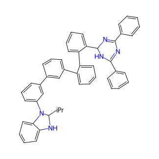 CC(C)C1Nc2ccccc2N1c1cccc(-c2cccc(-c3ccccc3-c3ccccc3C3N=C(c4ccccc4)N=C(c4ccccc4)N3)c2)c1